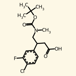 CN(CC(CC(=O)O)c1ccc(Cl)c(F)c1)C(=O)OC(C)(C)C